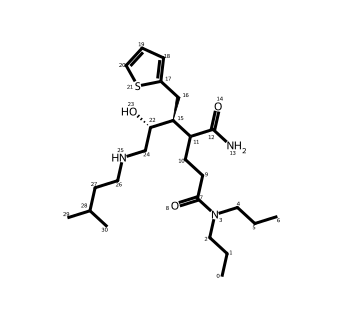 CCCN(CCC)C(=O)CCC(C(N)=O)[C@H](Cc1cccs1)[C@@H](O)CNCCC(C)C